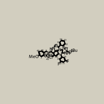 COc1ccc(CN(c2nn(C)c3c(-n4c([C@H](Cc5cc(F)cc(F)c5)NC(=O)OC(C)(C)C)nc5ccccc5c4=O)ccc(Cl)c23)S(C)(=O)=O)cc1